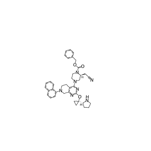 N#CC[C@H]1CN(c2nc(OC3([C@H]4CCCN4)CC3)nc3c2CCN(c2cccc4ccccc24)C3)CCN1C(=O)OCc1ccccc1